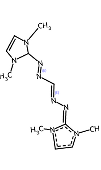 CN1C=CN(C)C1/N=N/C=N/N=c1n(C)ccn1C